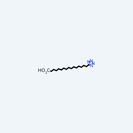 O=C(O)CCCCCCCCCCCCCCCC1N=NN=N1